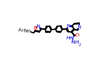 CC(=O)NCc1cc(-c2ccc(-c3ccc(-c4cc(C(=O)NN)c5cnccc5n4)cc3)cc2)no1